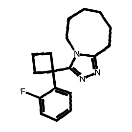 Fc1ccccc1C1(c2nnc3n2CCCCCC3)CCC1